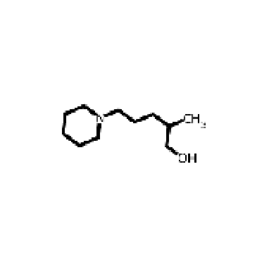 CC(CO)CCCN1CCCCC1